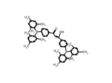 Cc1cc(C)c(B(c2ccc(C(=O)/C=C(\O)c3ccc(B(c4c(C)cc(C)cc4C)c4c(C)cc(C)cc4C)cc3)cc2)c2c(C)cc(C)cc2C)c(C)c1